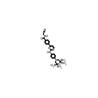 BC1(B)CN(c2ccc(Nc3nccc(-c4ccc(C(=O)NCC#N)cc4)n3)cc2)CC(B)(B)O1